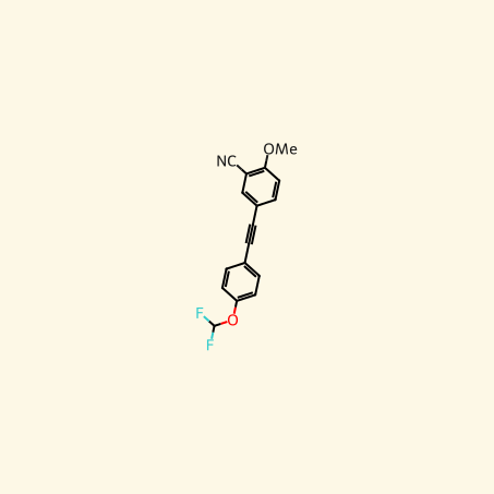 COc1ccc(C#Cc2ccc(OC(F)F)cc2)cc1C#N